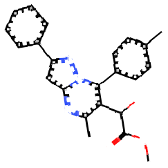 COC(=O)C(O)c1c(C)nc2cc(-c3ccccc3)nn2c1-c1ccc(C)cc1